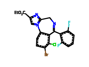 CCOC(=O)c1cn2c(n1)CN=C(c1c(F)cccc1F)c1c-2ccc(Br)c1Cl